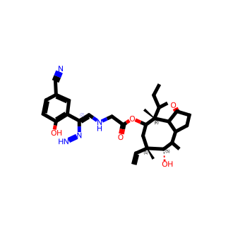 C=C[C@]1(C)CC(OC(=O)CN/C=C(\N=N)c2cc(C#N)ccc2O)[C@](C)(C(C)CC)C2C(=O)CCC2C(C)[C@@H]1O